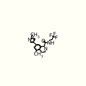 Cc1cc(-c2cnn(C)c2)cc2c1CCN=C2C(=O)NCCC(F)(F)F